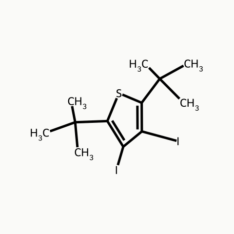 CC(C)(C)c1sc(C(C)(C)C)c(I)c1I